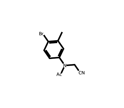 CC(=O)N(CC#N)c1ccc(Br)c(C)c1